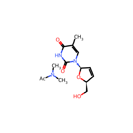 CC(=O)N(C)C.Cc1cn([C@H]2C=C[C@@H](CO)O2)c(=O)[nH]c1=O